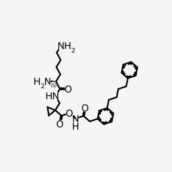 NCCCC[C@H](N)C(=O)NCC1(C(=O)ONC(=O)Cc2cccc(CCCCc3ccccc3)c2)CC1